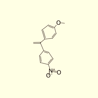 C=C(c1ccc(OC)cc1)c1ccc([N+](=O)[O-])cc1